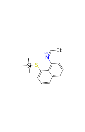 CC/C=N\c1cccc2cccc(S[Si](C)(C)C)c12